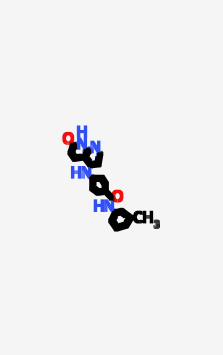 Cc1cccc(NC(=O)c2ccc(Nc3ccnc4[nH]c(=O)ccc34)cc2)c1